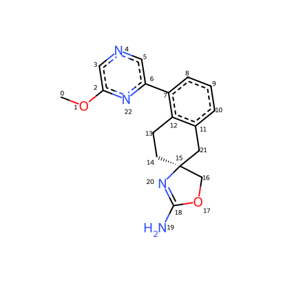 COc1cncc(-c2cccc3c2CC[C@@]2(COC(N)=N2)C3)n1